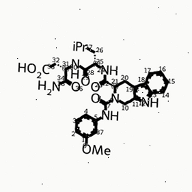 COc1cccc(NC(=O)N2Cc3[nH]c4ccccc4c3C[C@@H]2C(=O)N[C@@H](CC(C)C)C(=O)N[C@@H](CC(=O)O)C(N)=O)c1